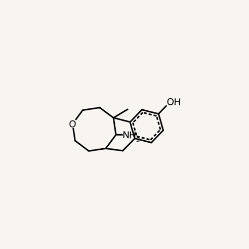 CC12CCOCCC(Cc3ccc(O)cc31)C2N